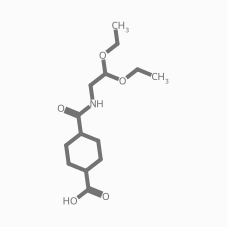 CCOC(CNC(=O)C1CCC(C(=O)O)CC1)OCC